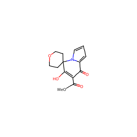 COC(=O)C1=C(O)C2(CCOCC2)n2cccc2C1=O